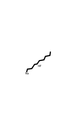 CCCCCCCC[CH2][Na].F